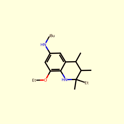 CCOc1cc(NC(C)CC)cc2c1NC(C)(CC)C(C)C2C